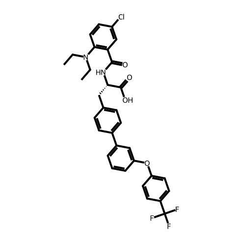 CCN(CC)c1ccc(Cl)cc1C(=O)N[C@@H](Cc1ccc(-c2cccc(Oc3ccc(C(F)(F)F)cc3)c2)cc1)C(=O)O